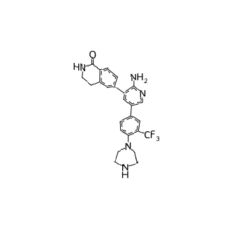 Nc1ncc(-c2ccc(N3CCNCC3)c(C(F)(F)F)c2)cc1-c1ccc2c(c1)CCNC2=O